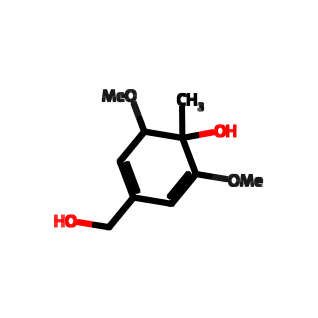 COC1=CC(CO)=CC(OC)C1(C)O